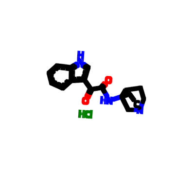 Cl.O=C(NC1CN2CCC1CC2)C(=O)c1c[nH]c2ccccc12